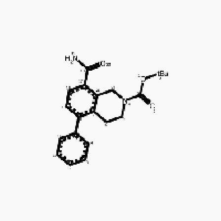 CC(C)(C)OC(=O)N1CCc2c(-c3ccccc3)ccc(C(N)=O)c2C1